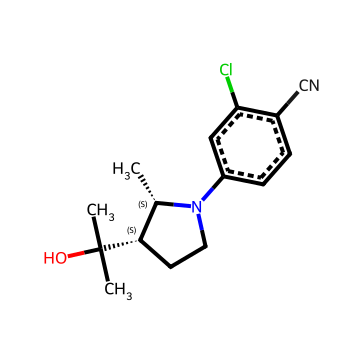 C[C@H]1[C@@H](C(C)(C)O)CCN1c1ccc(C#N)c(Cl)c1